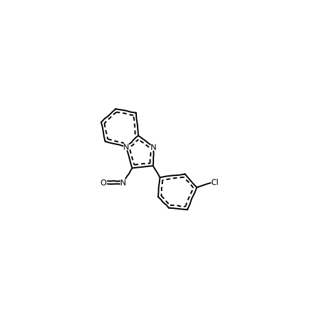 O=Nc1c(-c2cccc(Cl)c2)nc2ccccn12